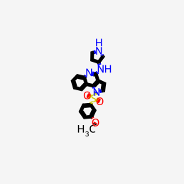 COc1cccc(S(=O)(=O)n2ccc3c(NC4CCNC4)nc4ccccc4c32)c1